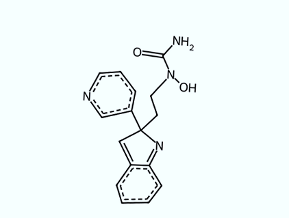 NC(=O)N(O)CCC1(c2cccnc2)C=c2ccccc2=N1